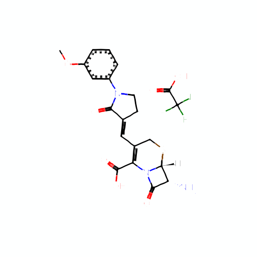 COc1cccc(N2CC/C(=C\C3=C(C(=O)O)N4C(=O)[C@@H](N)[C@H]4SC3)C2=O)c1.O=C(O)C(F)(F)F